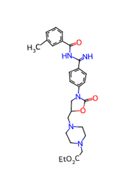 CCOC(=O)CN1CCN(CC2CN(c3ccc(C(=N)NC(=O)c4cccc(C)c4)cc3)C(=O)O2)CC1